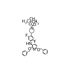 CC(C)(C)OC(=O)N1CCC(c2cc(F)c(Nc3ccc(OCc4ccccc4)nc3OCc3ccccc3)cc2F)CC1